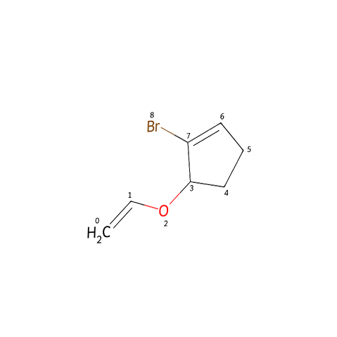 C=COC1CCC=C1Br